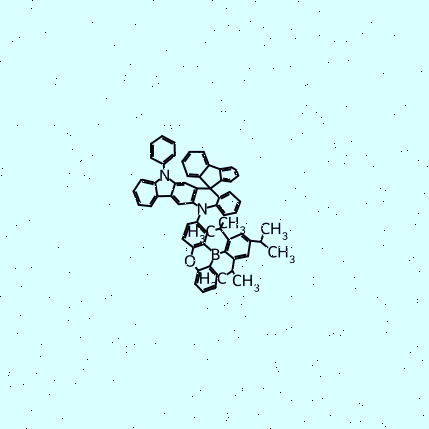 CC(C)c1cc(C(C)C)c(B2c3ccccc3Oc3ccc(N4c5ccccc5C5(c6ccccc6-c6ccccc65)c5cc6c(cc54)c4ccccc4n6-c4ccccc4)cc32)c(C(C)C)c1